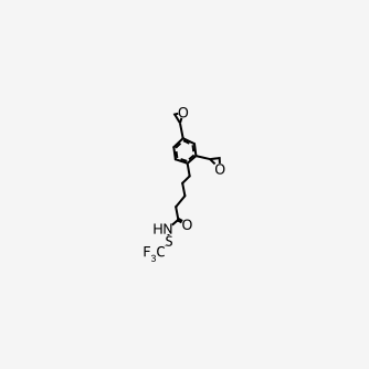 O=C(CCCCc1ccc(C2CO2)cc1C1CO1)NSC(F)(F)F